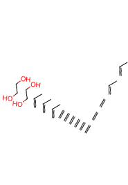 C=C.C=C.C=C.C=C.C=C.C=C.C=C.C=C.C=CC.C=CC.C=CC.C=CC.C=CC.OCCO.OCCO